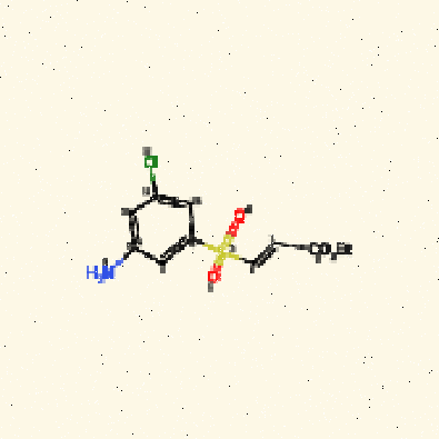 CCOC(=O)/C=C/S(=O)(=O)c1cc(N)cc(Cl)c1